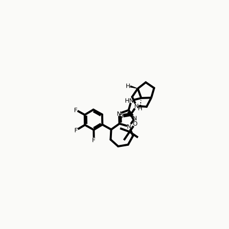 CC(C)(C)OC(=O)N1CC2CC[C@@H](C1)[C@@H]2Nc1nc2n(n1)CCCCC2c1ccc(F)c(F)c1F